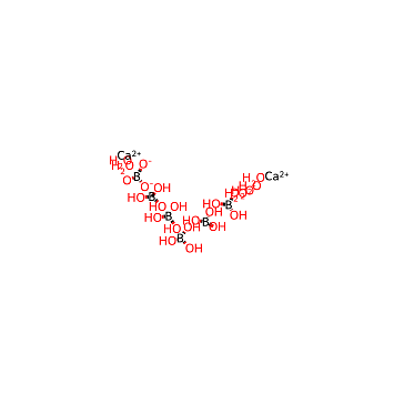 O.O.O.O.O.O.OB(O)O.OB(O)O.OB(O)O.OB(O)O.[Ca+2].[Ca+2].[O-]B(O)O.[O-]B([O-])[O-]